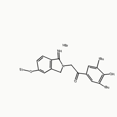 Br.CCOc1ccc2c(c1)CN(CC(=O)c1cc(C(C)(C)C)c(O)c(C(C)(C)C)c1)C2=N